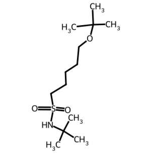 CC(C)(C)NS(=O)(=O)CCCCCOC(C)(C)C